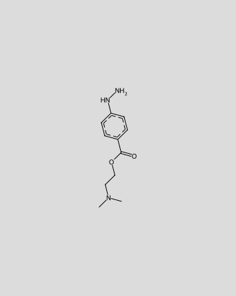 CN(C)CCOC(=O)c1ccc(NN)cc1